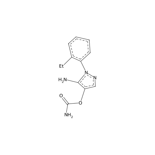 CCc1ccccc1-n1ncc(OC(N)=O)c1N